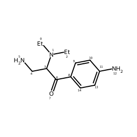 CCN(CC)C(CN)C(=O)c1ccc(N)cc1